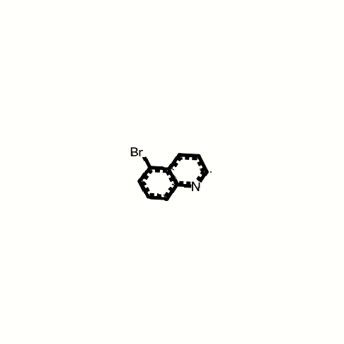 Brc1cccc2n[c]ccc12